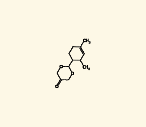 CC1=CC(C)C(C2OCC(=O)CO2)CC1